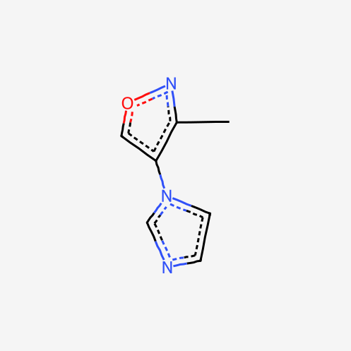 Cc1nocc1-n1ccnc1